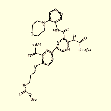 COC(=O)c1cc(-c2cnc(NC(=O)OC(C)(C)C)c(C(=O)Nc3cnccc3N3CCOCC3)n2)ccc1OCCCNC(=O)OC(C)(C)C